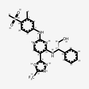 Cc1cc(Nc2ncc(-c3nnc(C(F)(F)F)o3)c(N[C@H](CO)c3ccccc3)n2)ccc1S(C)(=O)=O